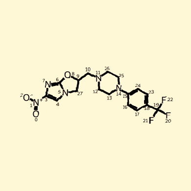 O=[N+]([O-])c1cn2c(n1)OC(CN1CCN(c3ccc(C(F)(F)F)cc3)CC1)C2